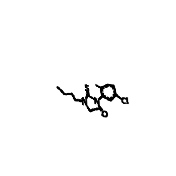 CCCCN1CC(=O)N(c2cc(Cl)ccc2C)C1=S